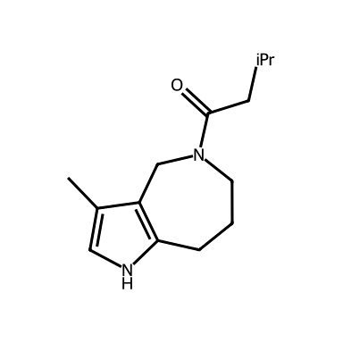 Cc1c[nH]c2c1CN(C(=O)CC(C)C)CCC2